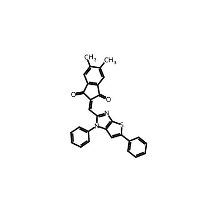 Cc1cc2c(cc1C)C(=O)C(=Cc1nc3sc(-c4ccccc4)cc3n1-c1ccccc1)C2=O